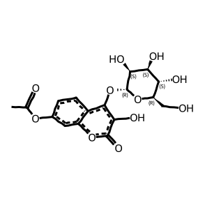 CC(=O)Oc1ccc2c(O[C@H]3O[C@H](CO)[C@@H](O)[C@H](O)[C@@H]3O)c(O)c(=O)oc2c1